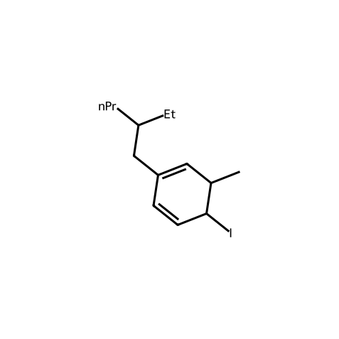 CCCC(CC)CC1=CC(C)C(I)C=C1